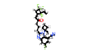 C=CC1(F)C(CC(=O)CCCc2nc3cc(F)cc(C#N)c3n2C2(C)CCC2)CC1(F)F